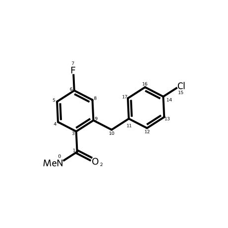 CNC(=O)c1ccc(F)cc1Cc1ccc(Cl)cc1